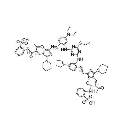 CCSc1nc(Nc2cc(N(CC)CC)ccc2/N=N/c2nc(N3CCCCC3)c(/C=C(/C(C)=O)C(=O)Nc3ccccc3S(=O)(=O)O)s2)nc(Nc2cc(N(CC)CC)ccc2/N=N/c2nc(N3CCCCC3)c(/C=C(\C(C)=O)C(=O)Nc3ccccc3S(=O)(=O)O)s2)n1